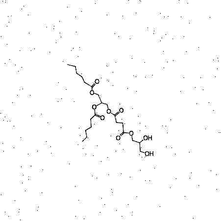 CCCCCC(=O)OCC(COC(=O)CCC(=O)OCC(O)CO)OC(=O)CCCCC